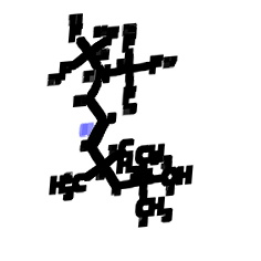 CC(C)(O)CC(C)(C)/C=C/CN(C(F)(F)F)C(F)(F)F